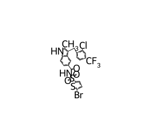 Cc1[nH]c2ccc(C(=O)NS(=O)(=O)c3ccc(Br)s3)cc2c1Cc1ccc(C(F)(F)F)cc1Cl